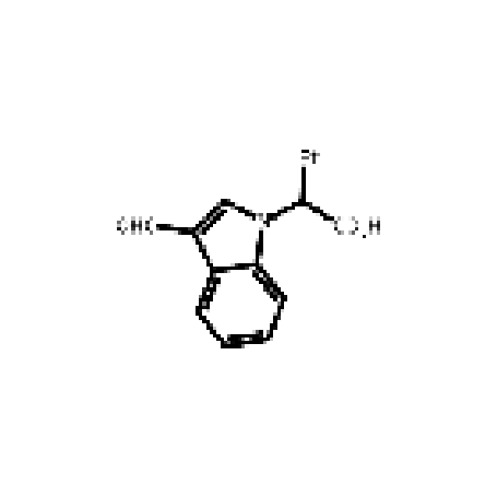 CCC(C(=O)O)n1cc(C=O)c2ccccc21